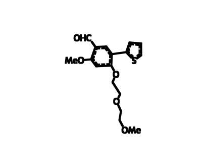 COCCOCCOc1cc(OC)c(C=O)cc1-c1cccs1